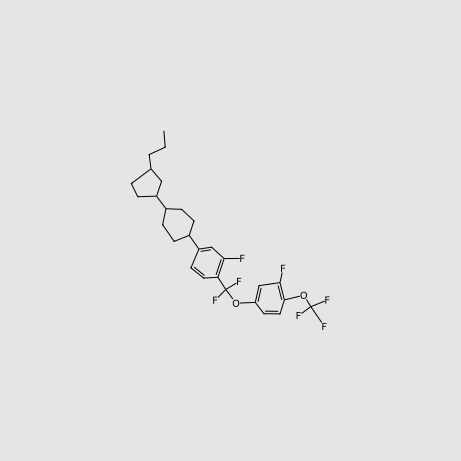 CCCC1CCC(C2CCC(c3ccc(C(F)(F)Oc4ccc(OC(F)(F)F)c(F)c4)c(F)c3)CC2)C1